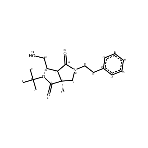 CC(C)(C)OC(=O)[C@]1(C)CN(CCc2ccccc2)C(=O)C1CCO